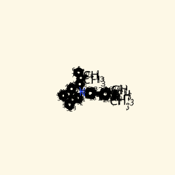 CC1(C)c2ccccc2-c2ccc(N(c3ccc(-c4ccc([Si](C)(C)C)cc4)cc3)c3ccc4c(c3)C3(c5ccccc5-c5ccccc53)c3ccccc3-4)cc21